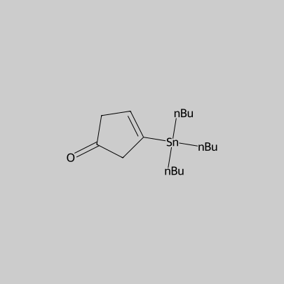 CCC[CH2][Sn]([CH2]CCC)([CH2]CCC)[C]1=CCC(=O)C1